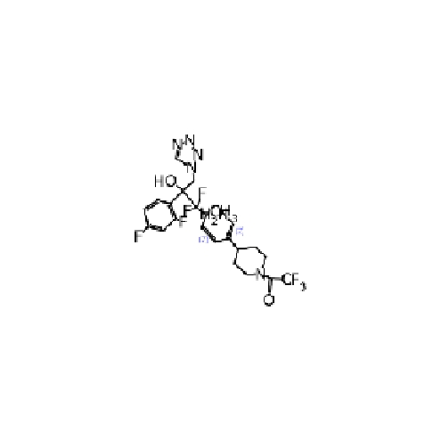 CC(/C=C\C(=C/N)C1CCN(C(=O)C(F)(F)F)CC1)C(F)(F)C(O)(Cn1cnnn1)c1ccc(F)cc1F